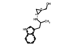 CC(Cc1c[nH]c2ccccc12)N[C@@H]1C[C@H]1CO